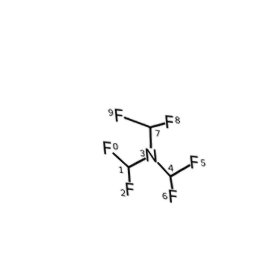 FC(F)N(C(F)F)C(F)F